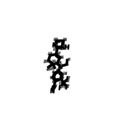 CCN(c1ccc(C#N)c(C(F)(F)F)c1)C1C=C(c2ncc[nH]2)CCC1(C)C